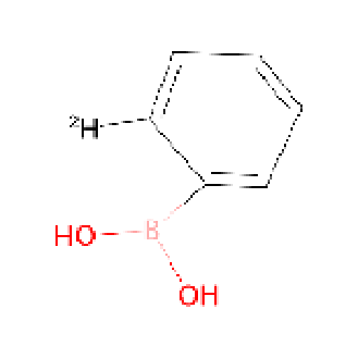 [2H]c1ccccc1B(O)O